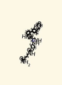 N=C/C(=C\NC1CCN(CC(=O)NCCCCC(N)=O)CC1)C1=Nc2c(cccc2-c2cc(F)c(CN3CCOCC3)c(F)c2)NC1